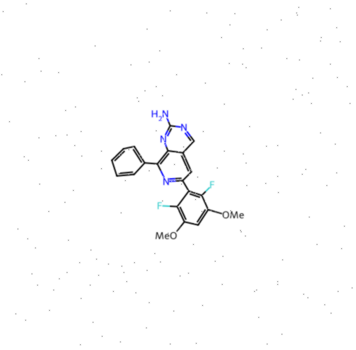 COc1cc(OC)c(F)c(-c2cc3cnc(N)nc3c(-c3ccccc3)n2)c1F